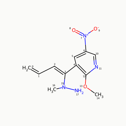 C=C/C=C(/c1cc([N+](=O)[O-])cnc1OC)N(C)N